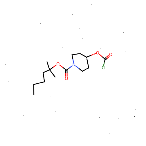 CCCCC(C)(C)OC(=O)N1CCC(OC(=O)Cl)CC1